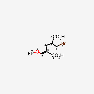 CCOC=C(CC(CBr)C(=O)O)C(=O)O